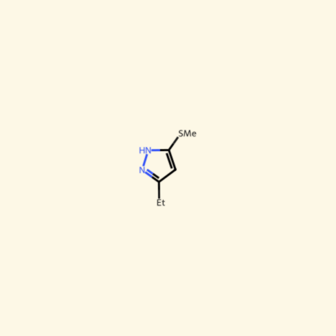 [CH2-][CH+]c1cc(SC)[nH]n1